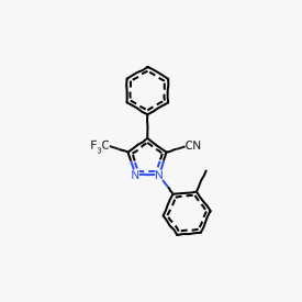 Cc1ccccc1-n1nc(C(F)(F)F)c(-c2ccccc2)c1C#N